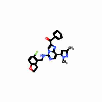 Cc1cc(-c2cnc(NCc3c(F)ccc4c3CCO4)n3cc(C(=O)c4ccccc4)nc23)n(C)n1